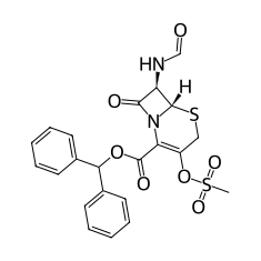 CS(=O)(=O)OC1=C(C(=O)OC(c2ccccc2)c2ccccc2)N2C(=O)[C@@H](NC=O)[C@@H]2SC1